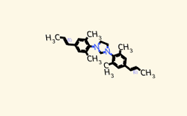 C/C=C/c1cc(C)c(N2CCN(c3c(C)cc(/C=C/C)cc3C)C2)c(C)c1